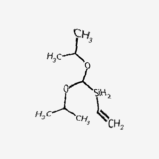 C=C[SiH2]C(OC(C)C)OC(C)C